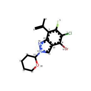 C=C(C)c1c(F)c(Cl)c(Br)c2cn(C3CCCCO3)nc12